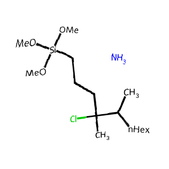 CCCCCCC(C)C(C)(Cl)CCC[Si](OC)(OC)OC.N